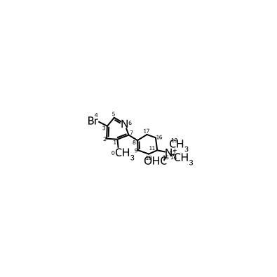 Cc1cc(Br)cnc1C1=CCC([N+](C)(C)C=O)CC1